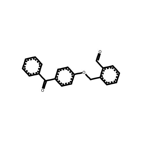 O=Cc1ccccc1COc1ccc(C(=O)c2ccccc2)cc1